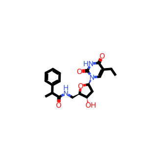 CCc1cn([C@H]2C[C@H](O)[C@@H](CNC(=O)C(C)c3ccccc3)O2)c(=O)[nH]c1=O